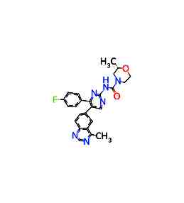 Cc1ncnc2ccc(-c3cnc(NC(=O)N4CCO[C@@H](C)C4)nc3-c3ccc(F)cc3)cc12